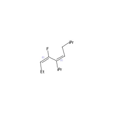 CC/C=C(F)\C(=C/CC(C)C)C(C)C